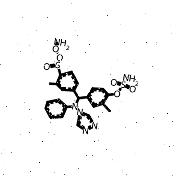 Cc1cc(C(c2ccc(S(=O)OON)c(C)c2)N(c2ccccc2)n2cnnc2)ccc1OS(N)(=O)=O